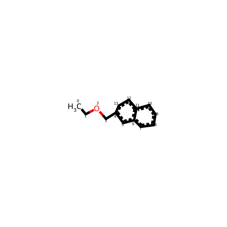 CCOCc1[c]c2ccccc2cc1